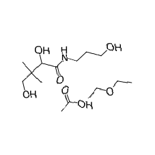 CC(=O)O.CC(C)(CO)C(O)C(=O)NCCCO.CCOCC